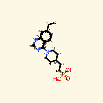 CCc1ccc2c(N3CCC(CCP(=O)(O)O)CC3)ncnc2c1